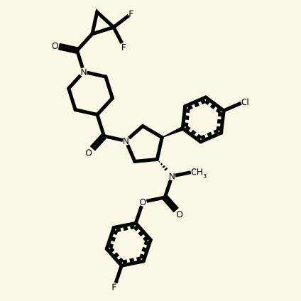 CN(C(=O)Oc1ccc(F)cc1)[C@@H]1CN(C(=O)C2CCN(C(=O)C3CC3(F)F)CC2)C[C@H]1c1ccc(Cl)cc1